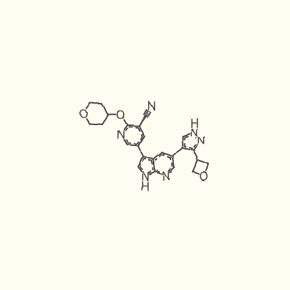 N#Cc1cc(-c2c[nH]c3ncc(-c4c[nH]nc4C4COC4)cc23)cnc1OC1CCOCC1